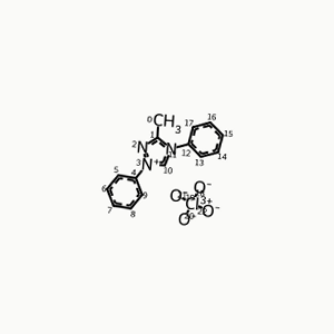 Cc1n[n+](-c2ccccc2)cn1-c1ccccc1.[O-][Cl+3]([O-])([O-])[O-]